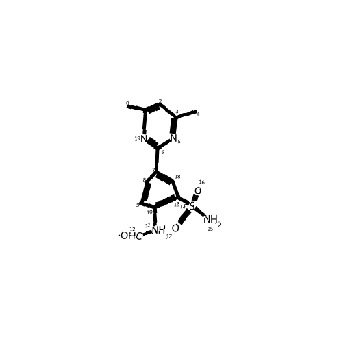 Cc1cc(C)nc(-c2ccc(N[C]=O)c(S(N)(=O)=O)c2)n1